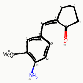 COc1cc(C=C2CCCC2=O)ccc1N